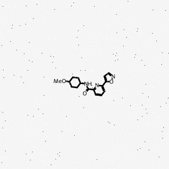 COC1CCC(NC(=O)c2cccc(-c3ccno3)n2)CC1